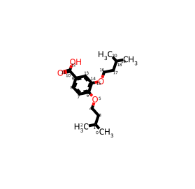 CC(C)CCOc1ccc(C(=O)O)cc1OCCC(C)C